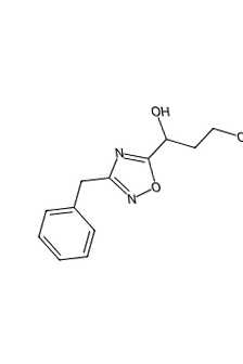 OCCC(O)c1nc(Cc2ccccc2)no1